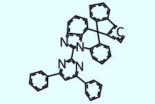 c1ccc(-c2cc(-c3ccccc3)nc(-c3nc4cccc5c4n3-c3ccccc3C53c4ccccc4-c4ccccc43)n2)cc1